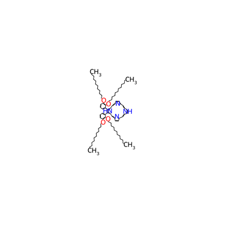 CCCCCCCCCCCCOc1cccc(-c2c(-c3cccc(OCCCCCCCCCCCC)c3OCCCCCCCCCCCC)c3cc4nc(cc5ccc(cc6nc(cc2[nH]3)C=C6)[nH]5)C=C4)c1OCCCCCCCCCCCC